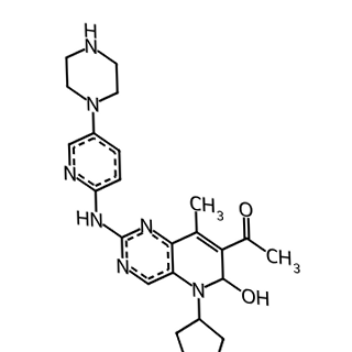 CC(=O)C1=C(C)c2nc(Nc3ccc(N4CCNCC4)cn3)ncc2N(C2CCCC2)C1O